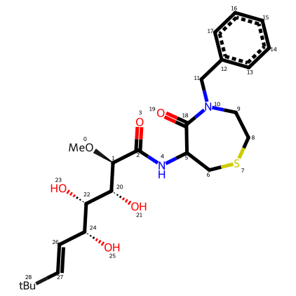 CO[C@@H](C(=O)NC1CSCCN(Cc2ccccc2)C1=O)[C@H](O)[C@@H](O)[C@H](O)C=CC(C)(C)C